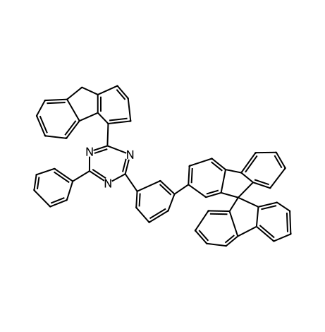 c1ccc(-c2nc(-c3cccc(-c4ccc5c(c4)C4(c6ccccc6-c6ccccc64)c4ccccc4-5)c3)nc(-c3cccc4c3-c3ccccc3C4)n2)cc1